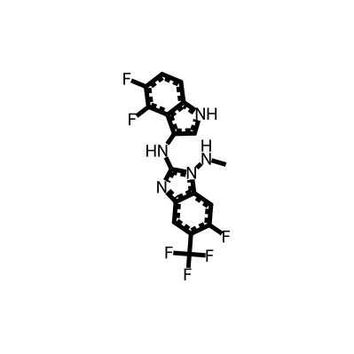 CNn1c(Nc2c[nH]c3ccc(F)c(F)c23)nc2cc(C(F)(F)F)c(F)cc21